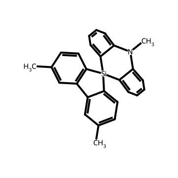 Cc1ccc2c(c1)-c1cc(C)ccc1[Si]21c2ccccc2N(C)c2ccccc21